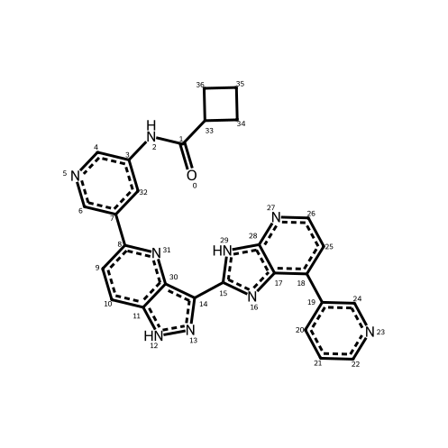 O=C(Nc1cncc(-c2ccc3[nH]nc(-c4nc5c(-c6cccnc6)ccnc5[nH]4)c3n2)c1)C1CCC1